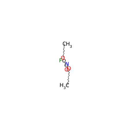 CCCCCCCCCCOc1ccc(-c2ccc(C3OCC(CCCCCCCCCC)CO3)cn2)cc1F